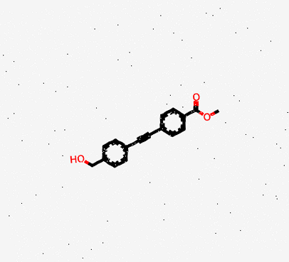 COC(=O)c1ccc(C#Cc2ccc(CO)cc2)cc1